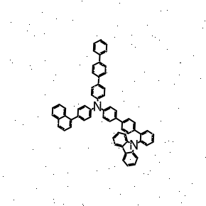 c1ccc(-c2ccc(-c3ccc(N(c4ccc(-c5ccc(-c6ccccc6-n6c7ccccc7c7ccccc76)cc5)cc4)c4ccc(-c5cccc6ccccc56)cc4)cc3)cc2)cc1